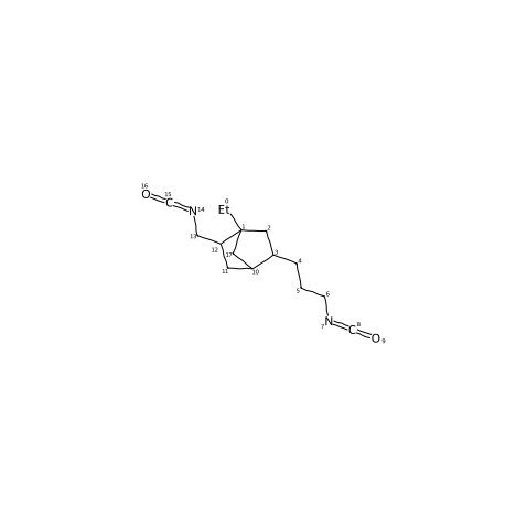 CCC12CC(CCCN=C=O)C(CC1CN=C=O)C2